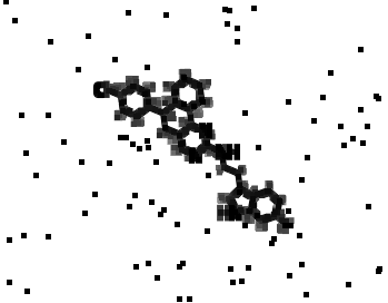 Fc1ccc2c(CCNc3ncc4c(n3)-c3ccccc3C(c3ccc(Cl)cc3)C4)c[nH]c2c1